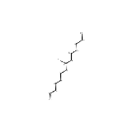 C=CCCCCCC(I)CCCCCC